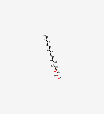 CCCCCCCCCCCCCCOC[C]=O